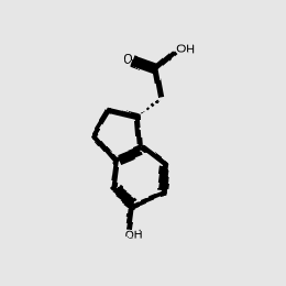 O=C(O)C[C@H]1CCc2cc(O)ccc21